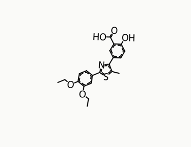 CCOc1ccc(-c2nc(-c3ccc(O)c(C(=O)O)c3)c(C)s2)cc1OCC